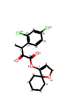 CC(C(=O)C(=O)OC1=CCOC12CCCCC2)c1ccc(Cl)cc1Cl